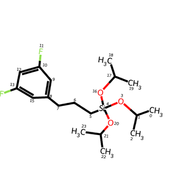 CC(C)O[Si](CCCc1cc(F)cc(F)c1)(OC(C)C)OC(C)C